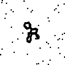 N#CC1=C2C(=Nc3ccccc32)C(c2ccccc2)=CC1